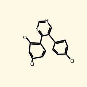 Clc1ccc(-c2cn[c]nc2-c2ccc(Cl)cc2Cl)cc1